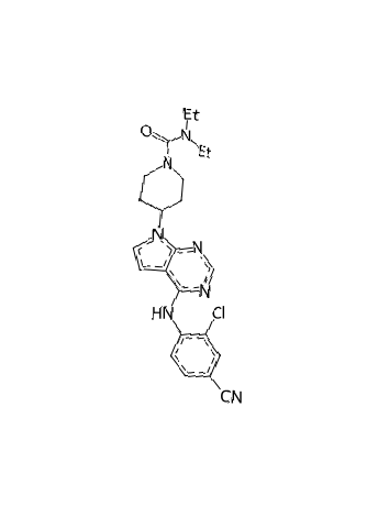 CCN(CC)C(=O)N1CCC(n2ccc3c(Nc4ccc(C#N)cc4Cl)ncnc32)CC1